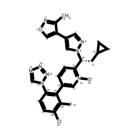 Cc1nocc1-c1cnn([C@H](CC2CC2)c2ccc(-c3c(-n4cnnn4)ccc(Cl)c3F)c[n+]2[O-])c1